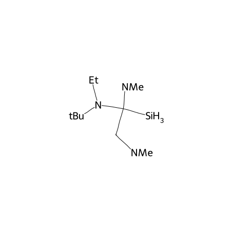 CCN(C(C)(C)C)C([SiH3])(CNC)NC